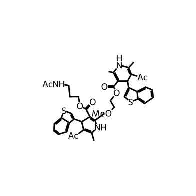 CC(=O)NCCCOC(=O)C1=C(C)NC(C)=C(C(C)=O)C1c1csc2ccccc12.COCCOC(=O)C1=C(C)NC(C)=C(C(C)=O)C1c1csc2ccccc12